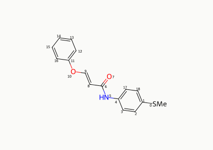 CSc1ccc(NC(=O)C=COc2ccccc2)cc1